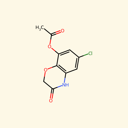 CC(=O)Oc1cc(Cl)cc2c1OCC(=O)N2